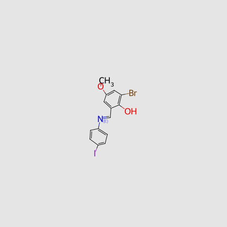 COc1cc(Br)c(O)c(/C=N/c2ccc(I)cc2)c1